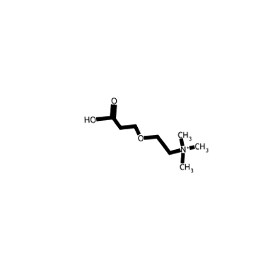 C[N+](C)(C)CCOCCC(=O)O